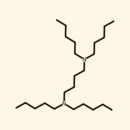 CCCCCN(CCCCC)CCCCN(CCCCC)CCCCC